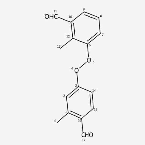 Cc1cc(OOc2cccc(C=O)c2C)ccc1C=O